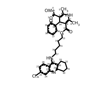 COC(=O)C1=C(C)NC(C)=C(C(=O)OCCCCCNc2c3c(nc4cc(Cl)ccc24)CCCC3)C1c1ccccc1Cl